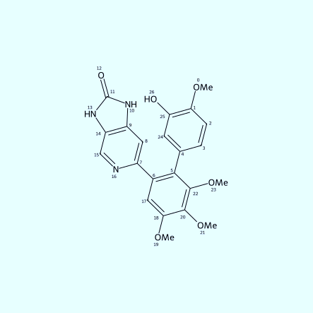 COc1ccc(-c2c(-c3cc4[nH]c(=O)[nH]c4cn3)cc(OC)c(OC)c2OC)cc1O